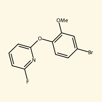 COc1cc(Br)ccc1Oc1cccc(F)n1